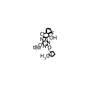 CN1CCC[C@H]1COc1nc(OC(C)(C)C)c2ncc(C(O)c3c(F)cccc3Cl)n2n1